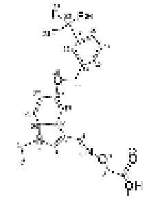 CCn1cc(C=NOCC(=O)O)c2cc(OCc3cccc(C(F)(F)F)c3)ccc21